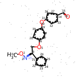 CO/N=C(\COc1ccc(Oc2ccc(C=O)cc2)cc1)c1ccccc1